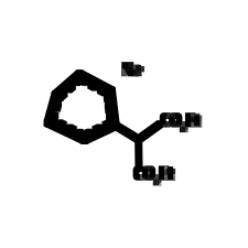 CCOC(=O)C(C(=O)OCC)c1ccccc1.[Na]